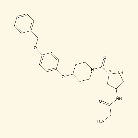 NCC(=O)NC1CN[C@@H](C(=O)N2CCC(Oc3ccc(OCc4ccccc4)cc3)CC2)C1